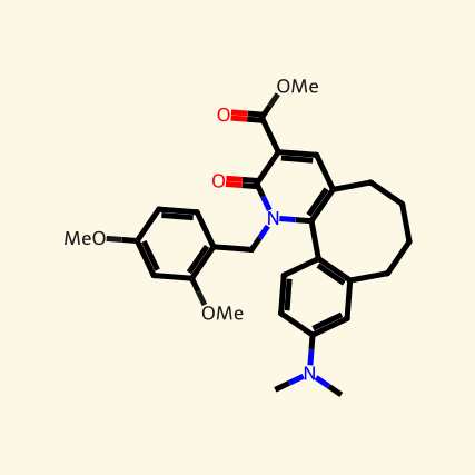 COC(=O)c1cc2c(n(Cc3ccc(OC)cc3OC)c1=O)-c1ccc(N(C)C)cc1CCCC2